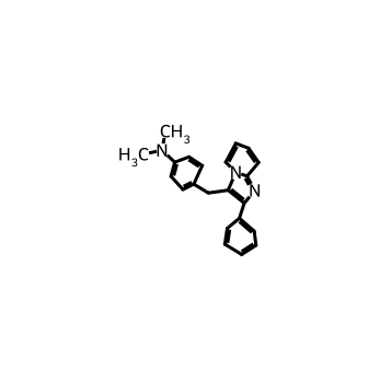 CN(C)c1ccc(Cc2c(-c3ccccc3)nc3ccccn23)cc1